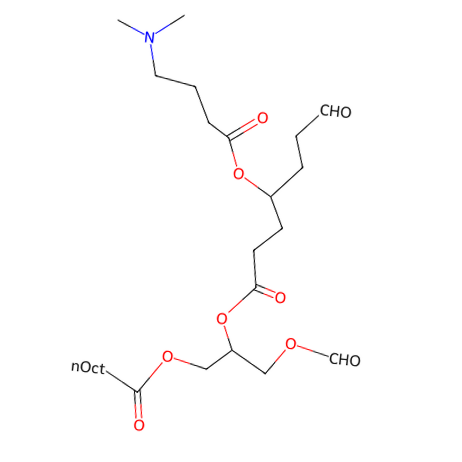 CCCCCCCCC(=O)OCC(COC=O)OC(=O)CCC(CCC=O)OC(=O)CCCN(C)C